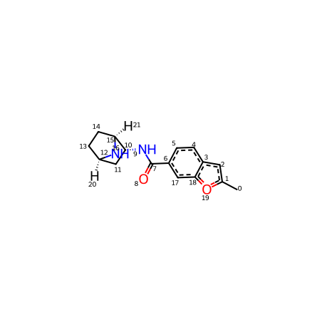 Cc1cc2ccc(C(=O)N[C@@H]3C[C@H]4CC[C@@H]3N4)cc2o1